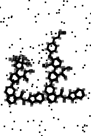 CC(C)(C)OC(=O)c1nc(N2CCc3cccc(C(=O)Nc4nc5ccccc5s4)c3C2)ccc1B1OC(C)(C)C(C)(C)O1.Cc1c(OC2CCC(CCC=O)CC2)cccc1-c1ccc(N2CCc3cccc(C(=O)Nc4nc5ccccc5s4)c3C2)nc1C(=O)OC(C)(C)C